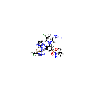 CC1(NS(=O)(=O)c2cc(N3C[C@@H](N)C[C@H](F)C3)c3c(c2)n(-c2nnc(C(F)F)s2)c2nccn32)CC1